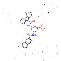 COC(=O)c1cc(NC(=O)c2ccc3ccccc3c2)cc(NC(=O)n2c3ccccc3c3ccccc32)c1